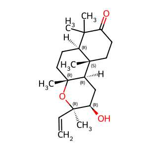 C=C[C@@]1(C)O[C@]2(C)CC[C@H]3C(C)(C)C(=O)CC[C@]3(C)[C@H]2C[C@H]1O